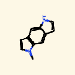 Cn1ccc2cc3[nH]ccc3cc21